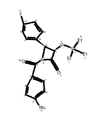 CC[Si](CC)(CC)O[C@H]1C(=O)N(C(=O)c2ccc(C(C)(C)C)cc2)[C@H]1c1ccc(F)cc1